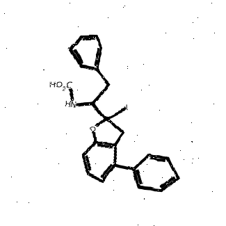 O=C(O)NC(Cc1ccccc1)C1(I)Cc2c(cccc2-c2ccccc2)O1